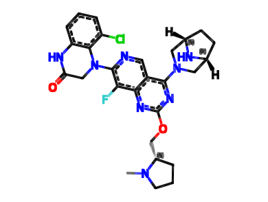 CN1CCC[C@H]1COc1nc(N2C[C@H]3CC[C@@H](C2)N3)c2cnc(N3CC(=O)Nc4cccc(Cl)c43)c(F)c2n1